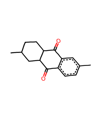 Cc1ccc2c(c1)C(=O)C1CCC(C)CC1C2=O